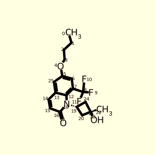 CCCCOc1cc(C(F)(F)F)c2c(ccc(=O)n2[C@H]2C[C@@](C)(O)C2)c1